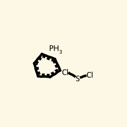 ClSCl.P.c1ccccc1